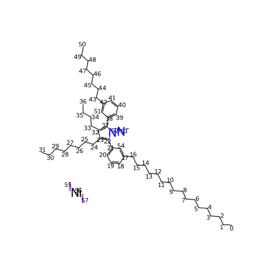 CCCCCCCCCCCCCCCCCc1cccc(C2=C(CCCCCCCC)C(CCCC)=C(c3cccc(CCCCCCCC)c3)[N+]2=[N-])c1.[I][Ni][I]